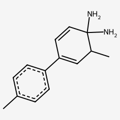 Cc1ccc(C2=CC(C)C(N)(N)C=C2)cc1